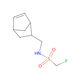 O=S(=O)(CF)NCC1CC2C=CC1C2